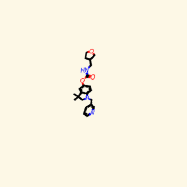 CC1(C)CN(Cc2cccnc2)c2ccc(OC(=O)NCC3CCOC3)cc21